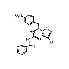 CCc1csc(C(Cc2ccc([N+](=O)[O-])cc2)NC(=O)NC(I)c2ccccc2)n1